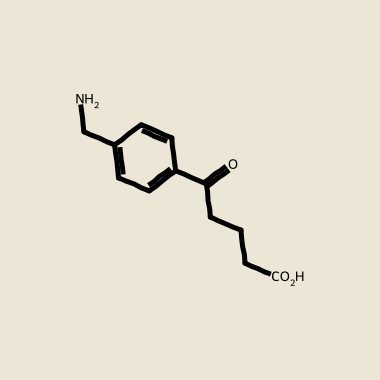 NCc1ccc(C(=O)CCCC(=O)O)cc1